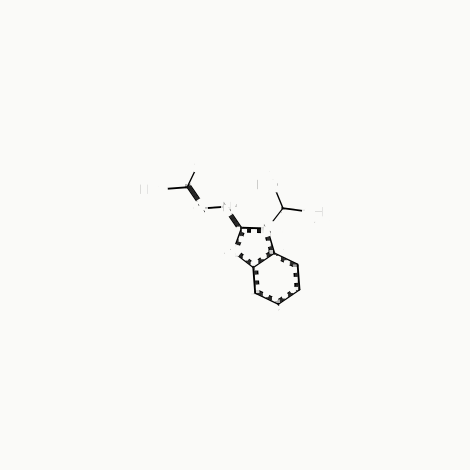 CC(C)=N/N=c1\sc2ccccc2n1C(C)O